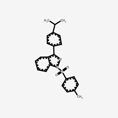 Cc1ccc(S(=O)(=O)n2nc(-c3ccc(C(C)C)cc3)c3ccccc32)cc1